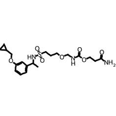 CC(NS(=O)(=O)CCCOCNC(=O)OCCC(N)=O)c1cccc(OCC2CC2)c1